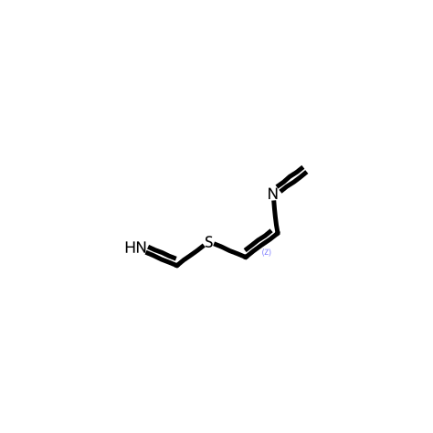 C=N/C=C\SC=N